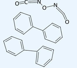 O=C=NON=C=O.c1ccc(-c2ccccc2)cc1.c1ccc(-c2ccccc2)cc1